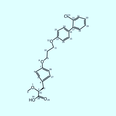 CO[C@@H](Cc1ccc(OCCCOc2ccc(-c3ccccc3Cl)cc2)cc1)C(=O)O